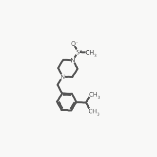 CC(C)c1cccc(CN2CCN([S+](C)[O-])CC2)c1